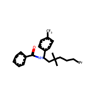 CC(C)CCCC(C)(C)CC(NC(=O)c1ccccc1)c1ccc(C(F)(F)F)cc1